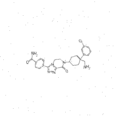 NCC1(c2cccc(Cl)c2)CCC(N2CCn3c(nnc3-c3ccc(C(N)=O)cc3)C2=O)CC1